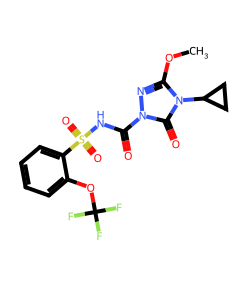 COc1nn(C(=O)NS(=O)(=O)c2ccccc2OC(F)(F)F)c(=O)n1C1CC1